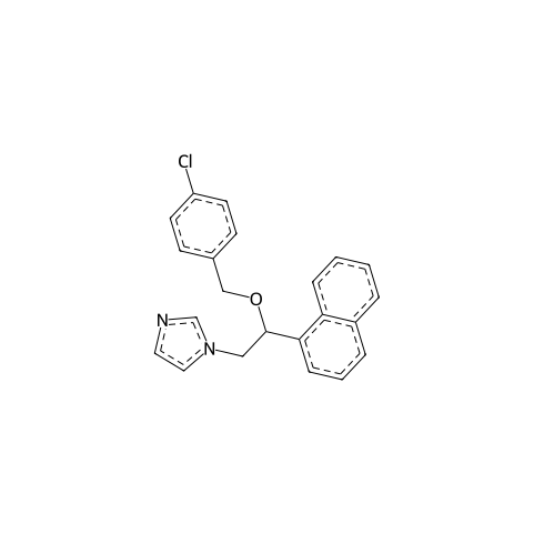 Clc1ccc(COC(Cn2ccnc2)c2cccc3ccccc23)cc1